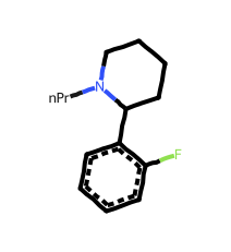 CCCN1CCCCC1c1ccccc1F